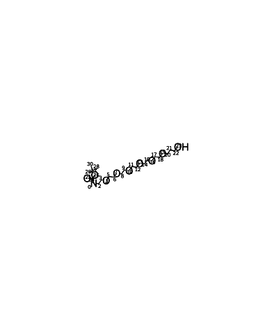 CN(CCOCCOCCOCCOCCOCCOCCCO)C(=O)OC(C)(C)C